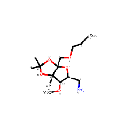 CCCCCCCCCCCCOC[C@@]12O[C@@H](CN)[C@@H](OOC)[C@@H]1OC(C)(C)O2